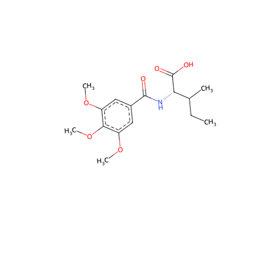 CCC(C)[C@H](NC(=O)c1cc(OC)c(OC)c(OC)c1)C(=O)O